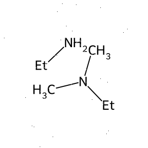 CCN.CCN(C)C